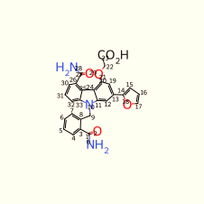 NC(=O)c1ccccc1Cn1c2cc(-c3ccco3)cc(OCC(=O)O)c2c2c(C(N)=O)cccc21